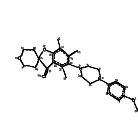 COc1ccc(N2CCN(c3c(C)c(C)c4c(c3C)C(=O)C3(CCOCC3)O4)CC2)cc1